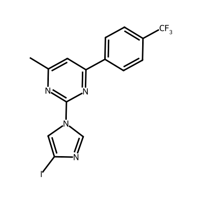 Cc1cc(-c2ccc(C(F)(F)F)cc2)nc(-n2cnc(I)c2)n1